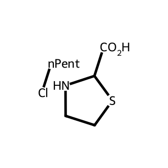 CCCCCCl.O=C(O)C1NCCS1